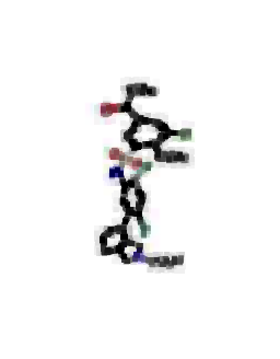 COC(=O)c1cc(Cl)c(OC)c(S(=O)(=O)Nc2cc(-c3cccc4c3CN(C(=O)O)C4)c(F)cc2F)c1